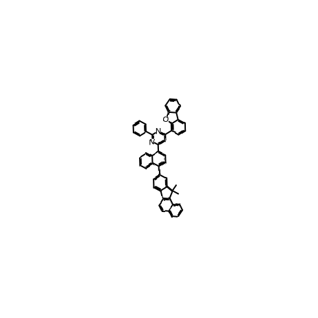 CC1(C)c2cc(-c3ccc(-c4cc(-c5cccc6c5oc5ccccc56)nc(-c5ccccc5)n4)c4ccccc34)ccc2-c2ccc3ccccc3c21